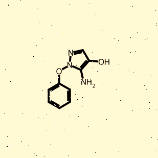 Nc1c(O)cnn1Oc1ccccc1